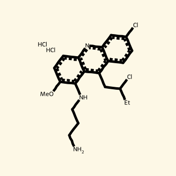 CCC(Cl)Cc1c2ccc(Cl)cc2nc2ccc(OC)c(NCCCN)c12.Cl.Cl